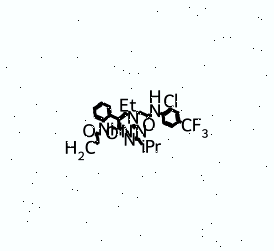 C=CC(=O)Nc1ccccc1-c1c(CC)n(CC(=O)Nc2ccc(C(F)(F)F)cc2Cl)c2nc(C(C)C)nn2c1=O